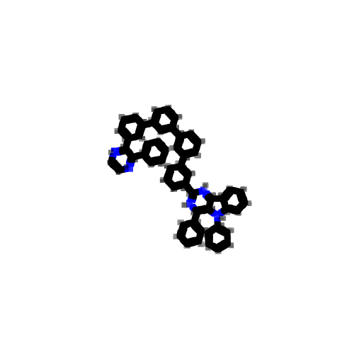 c1ccc(-c2nccnc2-c2cccc(-c3cccc(-c4cccc(-c5cccc(-c6nc(-c7ccccc7)c7c(n6)c6ccccc6n7-c6ccccc6)c5)c4)c3)c2)cc1